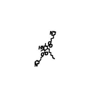 CCCCCCCC1C(C(=O)OCCCc2cccnc2)=C(C)NC(C)=C1C(=O)OCCCc1cccnc1